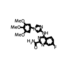 COc1cc(-n2cnc(Nc3nc(C(N)=O)nc4cc(F)ccc34)c2)cc(OC)c1OC